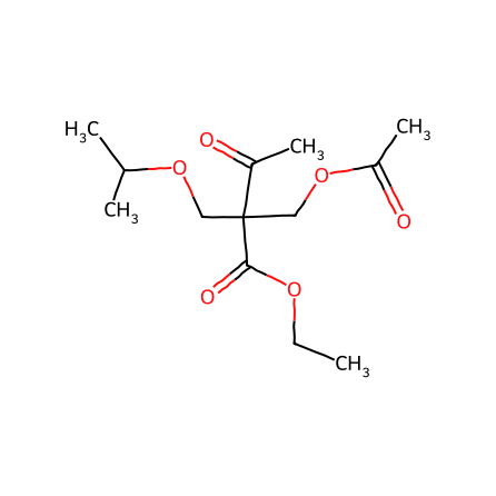 CCOC(=O)C(COC(C)=O)(COC(C)C)C(C)=O